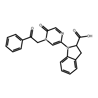 O=C(Cn1cc(N2c3ccccc3CC2C(=O)O)ncc1=O)c1ccccc1